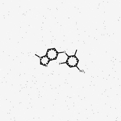 Cc1cc([N+](=O)[O-])cc(F)c1Oc1ccc2c(c1)ncn2C